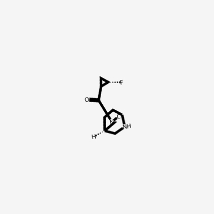 O=C(C1C[C@@H]1F)N1CC2CC[C@H](CN2)C1